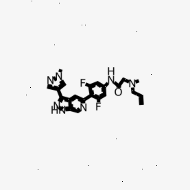 C=CCN(C)CC(=O)Nc1cc(F)c(-c2cc3c(-c4cnn(C)c4)n[nH]c3cn2)c(F)c1